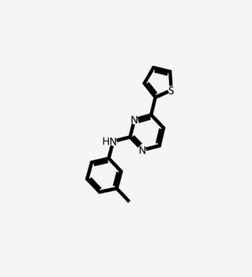 Cc1cccc(Nc2nccc(-c3cccs3)n2)c1